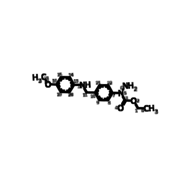 CCOC(=O)N(N)c1ccc(CNc2ccc(OC)cc2)cc1